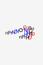 CCC[C@H]1CN(C(=O)[C@@H](NC(=O)c2ccc(N3CCN(CCC)CC3)cc2)[C@@H](C)CC)[C@@H]2C(=O)CO[C@H]12